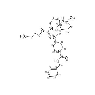 CCCCOC(=O)N1CCC[C@@]2(COCC(=O)N2)[C@@H]1COC1CCN(C(=O)OCc2ccccc2)CC1